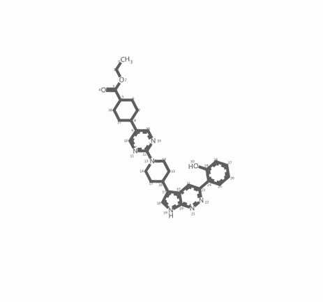 CCOC(=O)C1CCC(c2cnc(N3CCC(c4c[nH]c5nnc(-c6ccccc6O)cc45)CC3)nc2)CC1